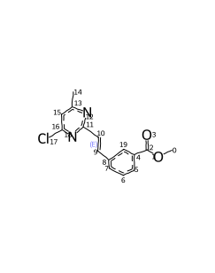 COC(=O)c1cccc(/C=C/c2nc(C)cc(Cl)n2)c1